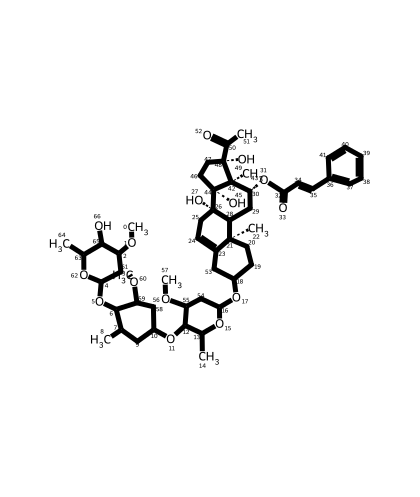 COC1CC(OC2C(C)CC(OC3C(C)OC(OC4CC[C@@]5(C)C(=CC[C@]6(O)C5C[C@@H](OC(=O)C=Cc5ccccc5)[C@@]5(C)[C@]6(O)CC[C@@]5(O)C(C)=O)C4)CC3OC)CC2OC)OC(C)C1O